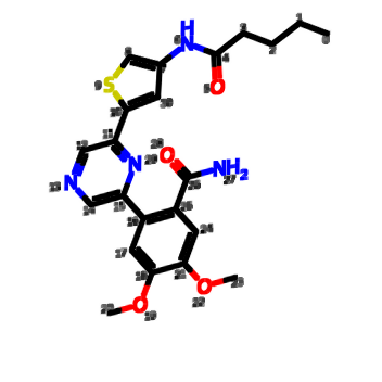 CCCCC(=O)Nc1csc(-c2cncc(-c3cc(OC)c(OC)cc3C(N)=O)n2)c1